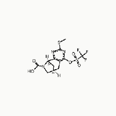 CSc1nc(OS(=O)(=O)C(F)(F)F)c2c(n1)[C@H]1C[C@@H](C2)CN1C(=O)O